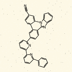 N#Cc1ccc2c3cc(-c4cccc(-c5cccc(-c6ccccc6)n5)n4)ccc3c3nc4ccccc4n3c2c1